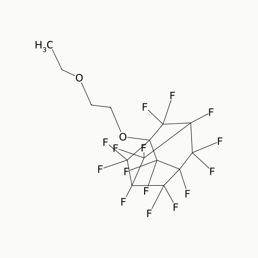 CCOCCOC12C(F)(F)C3(F)C(F)(F)C(F)(C(F)(F)C(F)(C3(F)F)C1(F)F)C2(F)F